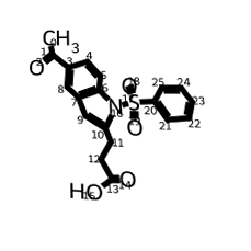 CC(=O)c1ccc2c(c1)cc(CCC(=O)O)n2S(=O)(=O)c1ccccc1